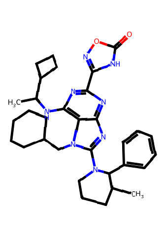 CC1CCCN(c2nc3nc(-c4noc(=O)[nH]4)nc(NC(C)C4CCC4)c3n2CC2CCCCC2)C1c1ccccc1